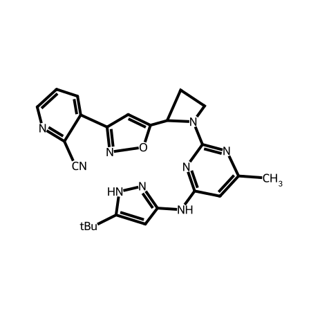 Cc1cc(Nc2cc(C(C)(C)C)[nH]n2)nc(N2CCC2c2cc(-c3cccnc3C#N)no2)n1